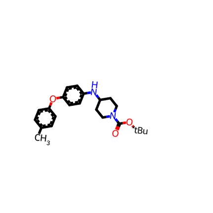 Cc1ccc(Oc2ccc(NC3CCN(C(=O)OC(C)(C)C)CC3)cc2)cc1